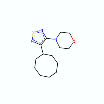 C1CCC[C](c2nsnc2N2CCOCC2)CCC1